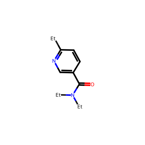 CCc1ccc(C(=O)N(CC)CC)cn1